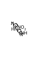 CN(C)c1ccc([N+](=O)[O-])c(Nc2ccc3[nH]ncc3c2)n1